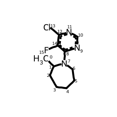 CC1CCCCCN1c1ncnc(Cl)c1F